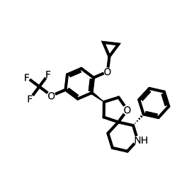 FC(F)(F)Oc1ccc(OC2CC2)c([C@H]2COC3(CCCN[C@H]3c3ccccc3)C2)c1